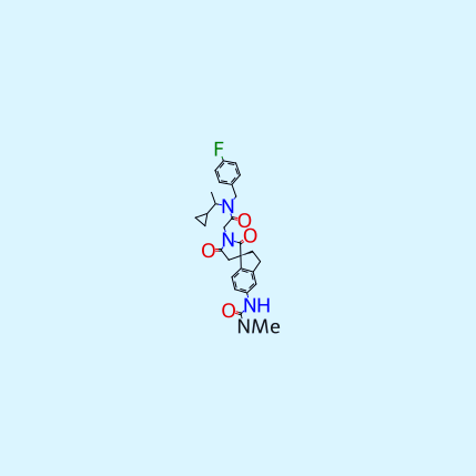 CNC(=O)Nc1ccc2c(c1)CC[C@]21CC(=O)N(CC(=O)N(Cc2ccc(F)cc2)C(C)C2CC2)C1=O